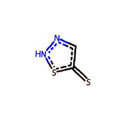 S=c1cn[nH]s1